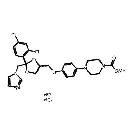 COC(=O)N1CCN(c2ccc(OCC3COC(Cn4ccnc4)(c4ccc(Cl)cc4Cl)O3)cc2)CC1.Cl.Cl